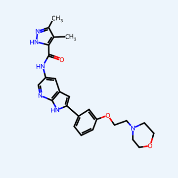 Cc1n[nH]c(C(=O)Nc2cnc3[nH]c(-c4cccc(OCCN5CCOCC5)c4)cc3c2)c1C